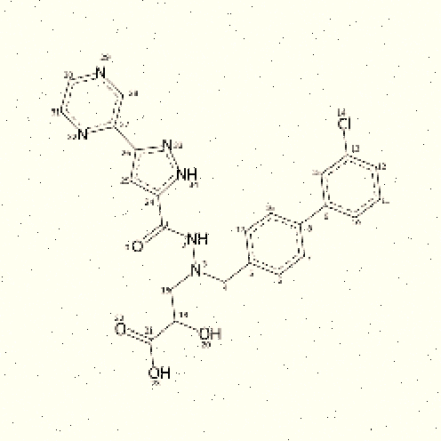 O=C(NN(Cc1ccc(-c2cccc(Cl)c2)cc1)CC(O)C(=O)O)c1cc(-c2cnccn2)n[nH]1